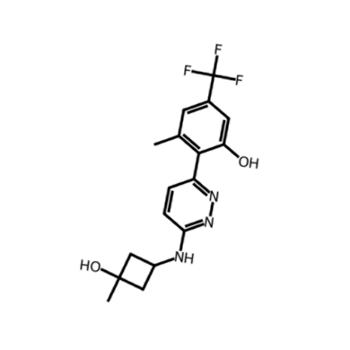 Cc1cc(C(F)(F)F)cc(O)c1-c1ccc(NC2CC(C)(O)C2)nn1